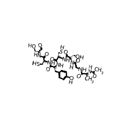 CC(=O)N[C@@H](C)C(=O)NCC(=O)N[C@@H](CO)C(=O)N[C@@H](CS)C(=O)N[C@@H](Cc1ccc(O)cc1)C(=O)N[C@@H](CS)C(=O)N[C@H](C=O)CO